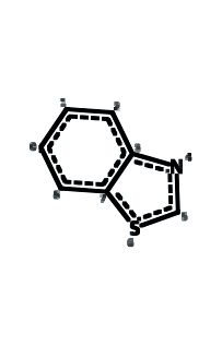 [c]1ccc2ncsc2c1